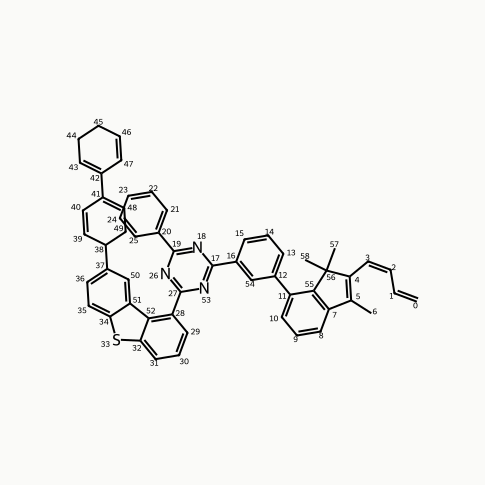 C=C/C=C\C1=C(C)c2cccc(-c3cccc(-c4nc(-c5ccccc5)nc(-c5cccc6sc7ccc(C8C=CC(C9=CCCC=C9)=CC8)cc7c56)n4)c3)c2C1(C)C